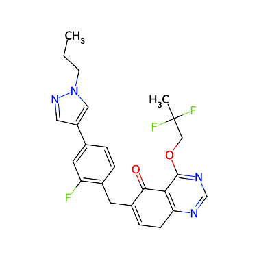 CCCn1cc(-c2ccc(CC3=CCc4ncnc(OCC(C)(F)F)c4C3=O)c(F)c2)cn1